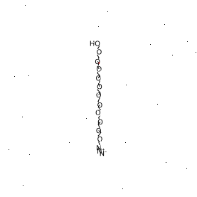 [N-]=[N+]=NCCOCCOCCOCCOCCOCCOCCOCCOCCOCCOCCOCCO